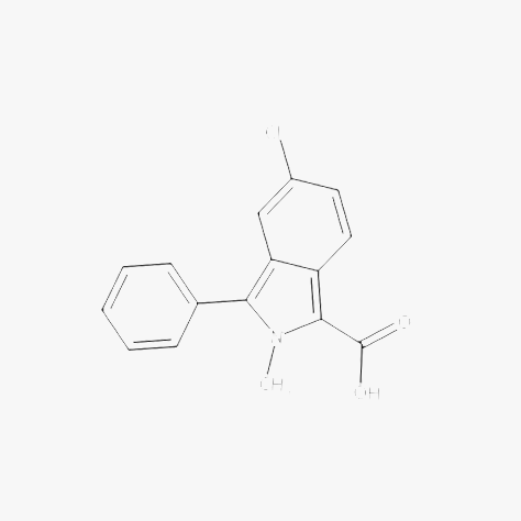 Cn1c(C(=O)O)c2ccc(Cl)cc2c1-c1ccccc1